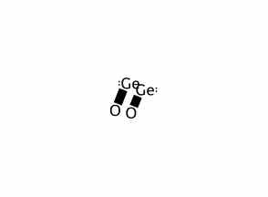 [O]=[Ge].[O]=[Ge]